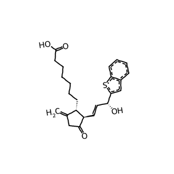 C=C1CC(=O)[C@H](C=C[C@@H](O)c2cc3ccccc3s2)[C@H]1CCCCCCC(=O)O